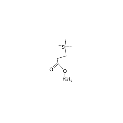 C[Si](C)(C)CCC(=O)ON